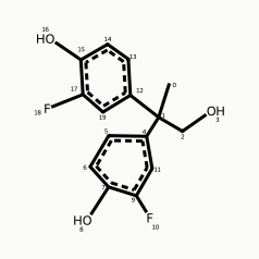 CC(CO)(c1ccc(O)c(F)c1)c1ccc(O)c(F)c1